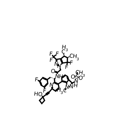 C[C@@H]1c2c(C(F)(F)F)nn(CC(=O)N[C@@H](Cc3cc(F)cc(F)c3)c3nc(C#CC4(O)CCC4)ccc3-c3cccc4c(NS(C)(=O)=O)nn(C)c34)c2C(F)(F)[C@@H]1C